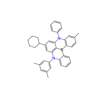 Cc1cc(C)cc(N2c3ccccc3B3c4ccc(C)cc4N(c4ccccc4)c4cc(C5CCCCC5)cc2c43)c1